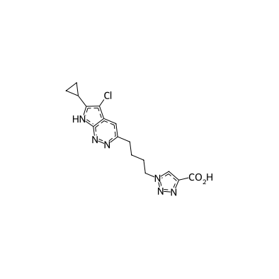 O=C(O)c1cn(CCCCc2cc3c(Cl)c(C4CC4)[nH]c3nn2)nn1